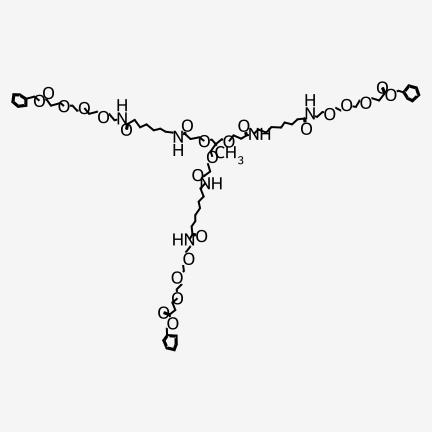 CC(COCCC(=O)NCCCCCCCC(=O)NCCOCCOCCOCCC(=O)OCc1ccccc1)(COCCC(=O)NCCCCCCCC(=O)NCCOCCOCCOCCC(=O)OCc1ccccc1)COCCC(=O)NCCCCCCCC(=O)NCCOCCOCCOCCC(=O)OCc1ccccc1